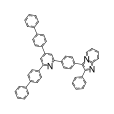 c1ccc(-c2ccc(-c3cc(-c4ccc(-c5ccccc5)cc4)nc(-c4ccc(-c5c(-c6ccccc6)nc6ccccn56)cc4)c3)cc2)cc1